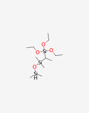 CCO[Si](OCC)(OCC)C(C)[Si](C)(C)O[SiH](C)C